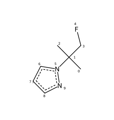 CC(C)(CF)n1c[c]cn1